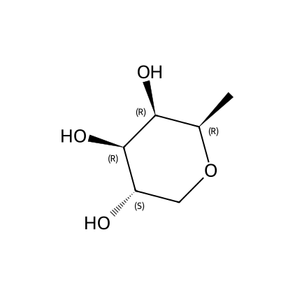 C[C@H]1OC[C@H](O)[C@@H](O)[C@H]1O